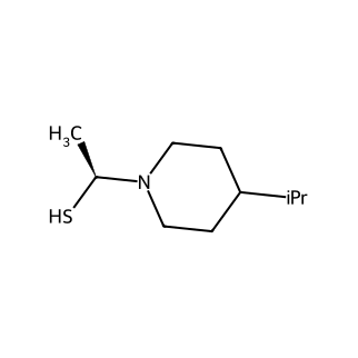 CC(C)C1CCN([C@H](C)S)CC1